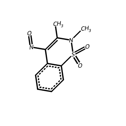 CC1=C(N=O)c2ccccc2S(=O)(=O)N1C